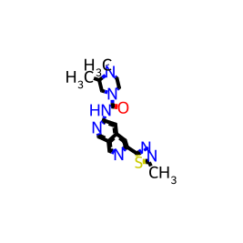 Cc1nnc(-c2cc3cc(NC(=O)N4CCN(C)C(C)C4)ncc3cn2)s1